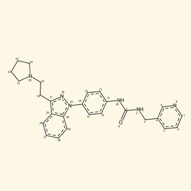 O=C(NCc1cccnc1)Nc1ccc(-n2nc(CCN3CCCC3)c3ccccc32)cc1